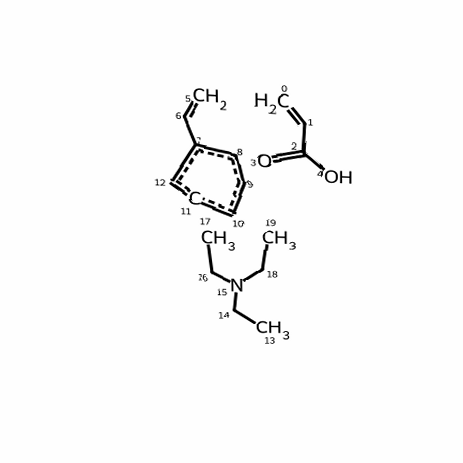 C=CC(=O)O.C=Cc1ccccc1.CCN(CC)CC